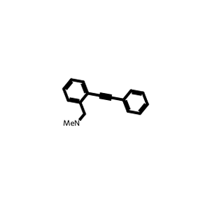 CNCc1ccccc1C#Cc1ccccc1